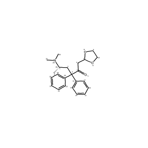 C[C@@H](CC(C(=O)CC1OCCO1)(c1ccccc1)c1ccccc1)N(C)C